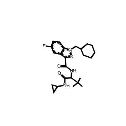 CC(C)(C)C(NC(=O)c1nn(CC2CCCCC2)c2ccc(F)cc12)C(=O)NC1CC1